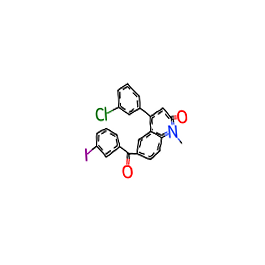 Cn1c(=O)cc(-c2cccc(Cl)c2)c2cc(C(=O)c3cccc(I)c3)ccc21